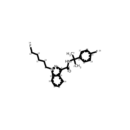 CC(C)(NC(=O)c1nn(CCCCCF)c2ccccc12)c1ccc(F)cc1